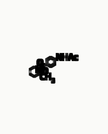 CC(=O)Nc1ccc(S(=O)(=O)N2CCCCC2C)cc1